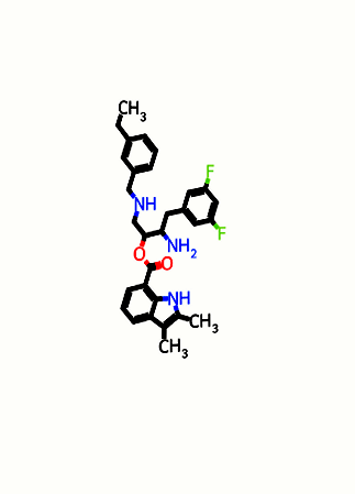 CCc1cccc(CNCC(OC(=O)c2cccc3c(C)c(C)[nH]c23)C(N)Cc2cc(F)cc(F)c2)c1